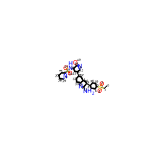 CCS(=O)(=O)c1ccc(-c2cc3cc(-c4cnc(OC)c(NS(=O)(=O)c5ccccn5)c4)ccc3nc2N)cc1